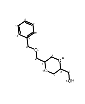 OCC1COC(COCc2ccccc2)CO1